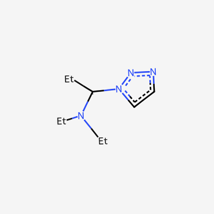 CC[C](N(CC)CC)n1ccnn1